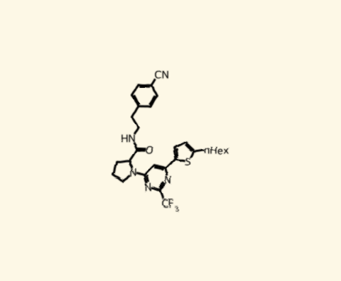 CCCCCCc1ccc(-c2cc(N3CCCC3C(=O)NCCc3ccc(C#N)cc3)nc(C(F)(F)F)n2)s1